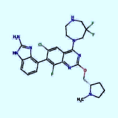 CN1CCC[C@H]1COc1nc(N2CCNCC(F)(F)C2)c2cc(Cl)c(-c3cccc4[nH]c(N)nc34)c(F)c2n1